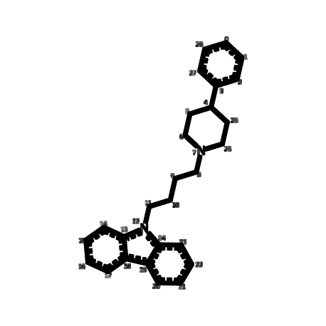 c1ccc(C2CCN(CCCCn3c4ccccc4c4ccccc43)CC2)cc1